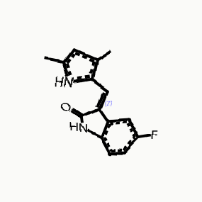 Cc1cc(C)c(/C=C2\C(=O)Nc3ccc(F)cc32)[nH]1